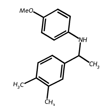 COc1ccc(NC(C)c2ccc(C)c(C)c2)cc1